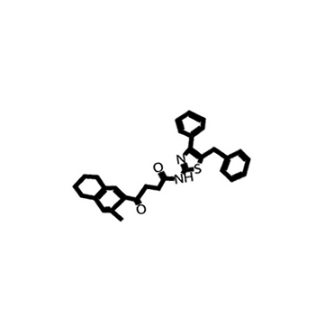 Cc1cc2c(cc1C(=O)CCC(=O)Nc1nc(-c3ccccc3)c(Cc3ccccc3)s1)CCCC2